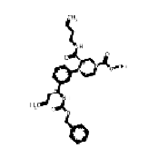 C=CCCNC(=O)[C@H]1CN(C(=O)OC(C)(C)C)CCN1c1cccc([C@H](CC=C)NC(=O)OCc2ccccc2)c1